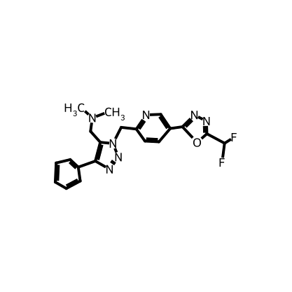 CN(C)Cc1c(-c2ccccc2)nnn1Cc1ccc(-c2nnc(C(F)F)o2)cn1